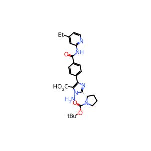 CCc1ccnc(NC(=O)c2ccc(-c3nc([C@@H]4CCCN4C(=O)OC(C)(C)C)n(N)c3C(=O)O)cc2)c1